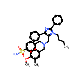 CCCCn1c(-c2ccccc2)nc(-c2ccccc2)c1CN(Cc1ccc(S(N)(=O)=O)cc1)Cc1cc(C)c(OC)c(C)c1